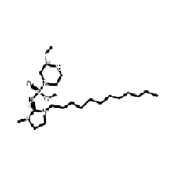 CCCCCCCCCCCCN1CCN(C)/C1=N/P(=O)(OC)N1CCO[C@@H](CC)C1